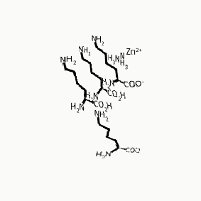 N.N.NCCCC[C@H](N)C(=O)O.NCCCC[C@H](N)C(=O)O.NCCCC[C@H](N)C(=O)[O-].NCCCC[C@H](N)C(=O)[O-].[Zn+2]